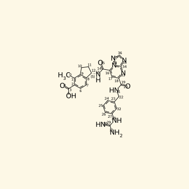 Cc1c(C(=O)O)ccc2c1CC[C@@H]2NC(=O)c1cc(C(=O)NCc2cccc(NC(=N)N)c2)nc2ncnn12